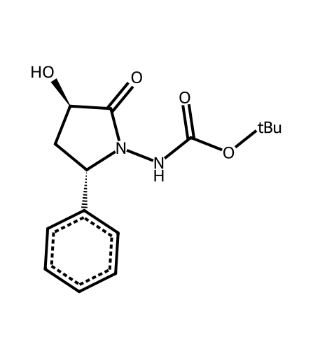 CC(C)(C)OC(=O)NN1C(=O)[C@H](O)C[C@H]1c1ccccc1